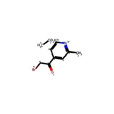 CC(=O)O.Cc1cc(C(=O)CBr)ccn1